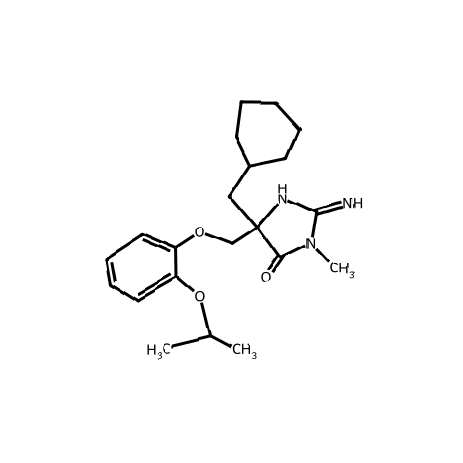 CC(C)Oc1ccccc1OCC1(CC2CCCCC2)NC(=N)N(C)C1=O